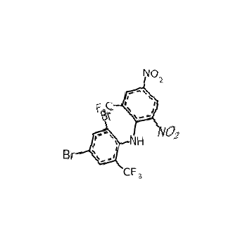 O=[N+]([O-])c1cc([N+](=O)[O-])c(Nc2c(Br)cc(Br)cc2C(F)(F)F)c(C(F)(F)F)c1